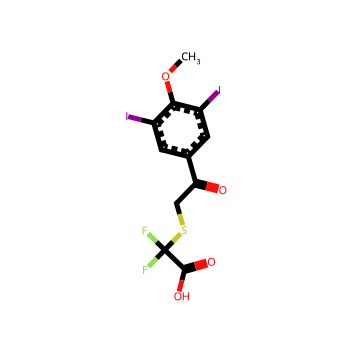 COc1c(I)cc(C(=O)CSC(F)(F)C(=O)O)cc1I